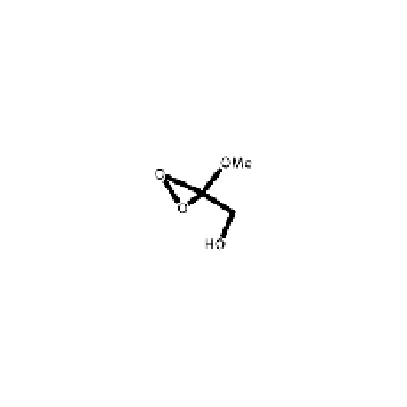 COC1(CO)OO1